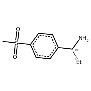 CC[C@@H](N)c1ccc(S(C)(=O)=O)cc1